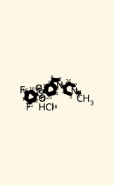 CCN1CCC(n2ccc3cc(S(=O)(=O)c4cc(F)cc(F)c4)ccc32)CC1.Cl